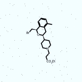 CCOC(=O)CCN1CCC([C@@H]2Cc3c(C)cccc3[C@H](CBr)O2)CC1